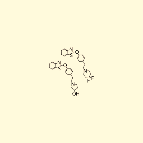 FC1(F)CCN(CCc2ccc(Oc3nc4ccccc4s3)cc2)CC1.OC1CCN(CCc2ccc(Oc3nc4ccccc4s3)cc2)C1